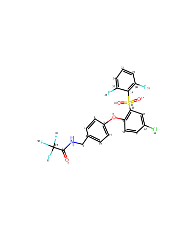 O=C(NCc1ccc(Oc2ccc(Cl)cc2S(=O)(=O)c2c(F)cccc2F)cc1)C(F)(F)F